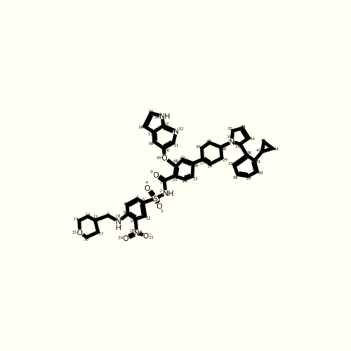 O=C(NS(=O)(=O)c1ccc(NCC2CCOCC2)c([N+](=O)[O-])c1)c1ccc(C2=CCC(N3CC=CC3c3ccccc3C3CC3)CC2)cc1Oc1cnc2[nH]ccc2c1